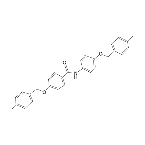 Cc1ccc(COc2ccc(NC(=O)c3ccc(OCc4ccc(C)cc4)cc3)cc2)cc1